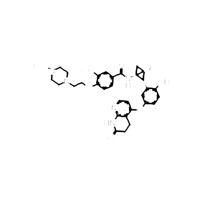 CN1CCN(CCOc2ccc(C(=O)N[C@@]34C[C@H]3[C@H]4c3cc(Oc4ccnc5c4CCC(=O)N5)ccc3O)cc2C(F)(F)F)CC1